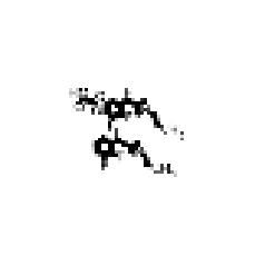 CCCN1CC(C(F)c2cccc(F)c2F)C1.CCCN1CC(C(F)c2cccc(F)c2F)C1.O=C(O)C(=O)O